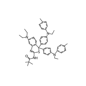 CCN(CC)c1ccc2c(c1)N=C(NC(=O)C(C)(C)C)SC2(c1ccc(N(CC)c2ccc(C)cc2)cc1)c1ccc(N(CC)c2ccc(C)cc2)cc1